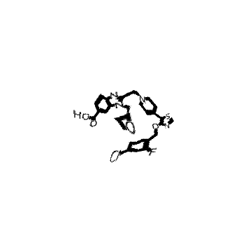 O=C(O)c1ccc2nc(CN3CC=C(c4scnc4OCc4ccc(Cl)cc4F)CC3)n(C[C@@H]3CCO3)c2c1